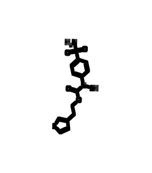 NS(=O)(=O)c1ccc(N(S)C(=O)OCCc2ccsc2)cc1